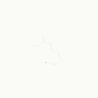 CCC(CCCC(CC)CC(C)C)CC(C)C